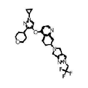 FC(F)(F)Cn1cc2c(n1)CN(C1C=c3nccc(Oc4cn(C5CC5)nc4C4CCOCC4)c3=CC1)C2